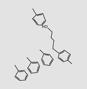 Cc1ccc(CCCCO)cc1.Cc1ccccc1.Cc1ccccc1.Cc1ccccc1.Cc1ccccc1